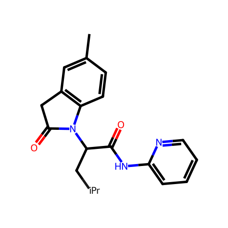 Cc1ccc2c(c1)CC(=O)N2C(CC(C)C)C(=O)Nc1ccccn1